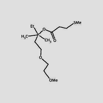 CCP(C)(C)(CCOCCOC)OC(=O)CCSC